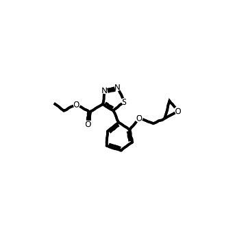 CCOC(=O)c1nnsc1-c1ccccc1OCC1CO1